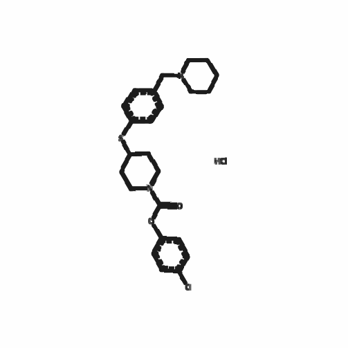 Cl.O=C(Oc1ccc(Cl)cc1)N1CCC(Sc2ccc(CN3CCCCC3)cc2)CC1